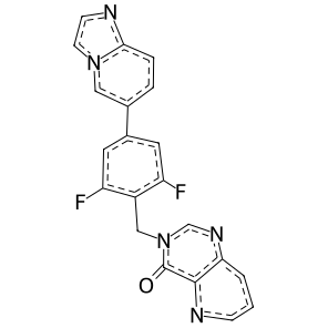 O=c1c2ncccc2ncn1Cc1c(F)cc(-c2ccc3nccn3c2)cc1F